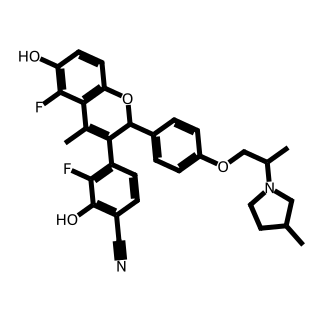 CC1=C(c2ccc(C#N)c(O)c2F)C(c2ccc(OCC(C)N3CCC(C)C3)cc2)Oc2ccc(O)c(F)c21